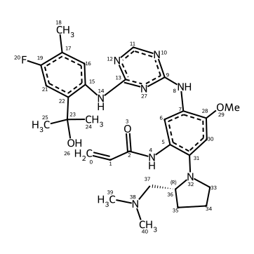 C=CC(=O)Nc1cc(Nc2ncnc(Nc3cc(C)c(F)cc3C(C)(C)O)n2)c(OC)cc1N1CCC[C@@H]1CN(C)C